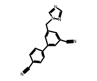 N#Cc1ccc(-c2cc(C#N)cc(Cn3cncn3)c2)cc1